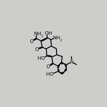 CN(C)c1ccc(O)c2c1CC1CC3C(N)C(O)=C(C(N)=O)C(=O)C3C(O)=C1C2=O